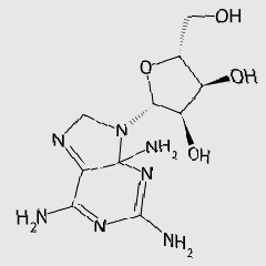 NC1=NC2(N)C(=NCN2[C@@H]2O[C@H](CO)[C@@H](O)[C@H]2O)C(N)=N1